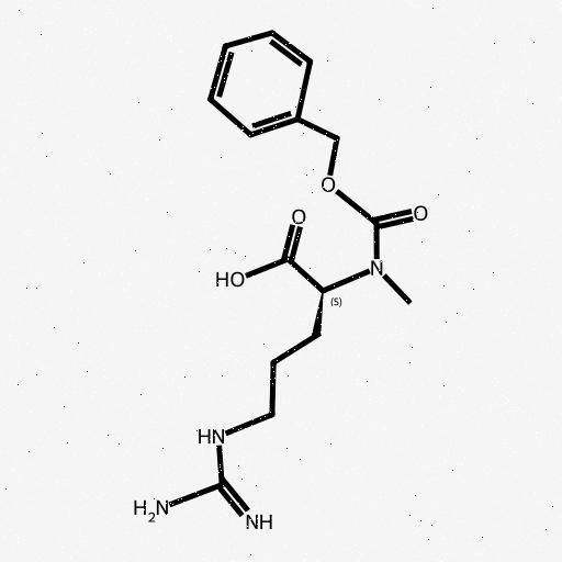 CN(C(=O)OCc1ccccc1)[C@@H](CCCNC(=N)N)C(=O)O